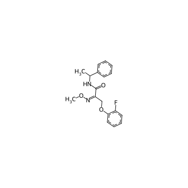 CON=C(COc1ccccc1F)C(=O)NC(C)c1ccccc1